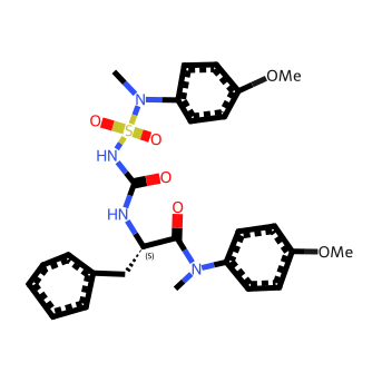 COc1ccc(N(C)C(=O)[C@H](Cc2ccccc2)NC(=O)NS(=O)(=O)N(C)c2ccc(OC)cc2)cc1